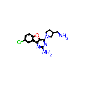 NCC1CCN(c2nc(N)nc3c2oc2ccc(Cl)cc23)C1